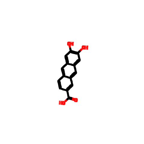 O=C(O)c1ccc2cc3cc(O)c(O)cc3cc2c1